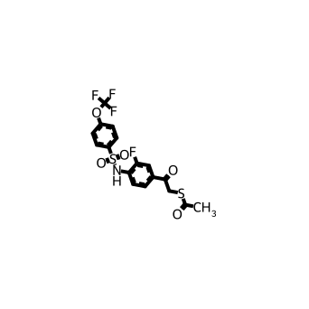 CC(=O)SCC(=O)c1ccc(NS(=O)(=O)c2ccc(OC(F)(F)F)cc2)c(F)c1